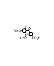 COCOc1cc(OC)cc(F)c1C(=O)c1ccc(C(=O)O)cc1